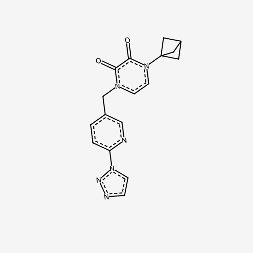 O=c1c(=O)n(C23CC(C2)C3)ccn1Cc1ccc(-n2ccnn2)nc1